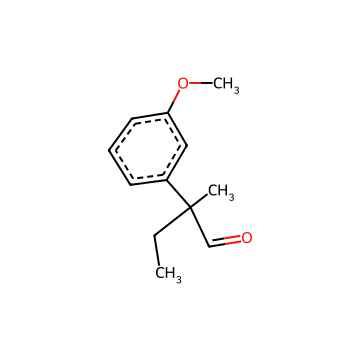 CCC(C)(C=O)c1cccc(OC)c1